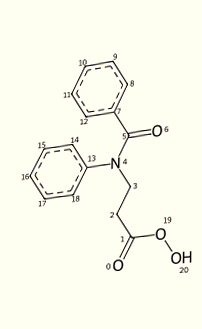 O=C(CCN(C(=O)c1ccccc1)c1ccccc1)OO